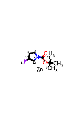 CC(C)(C)OC(=O)N1CCC(I)C1.[Zn]